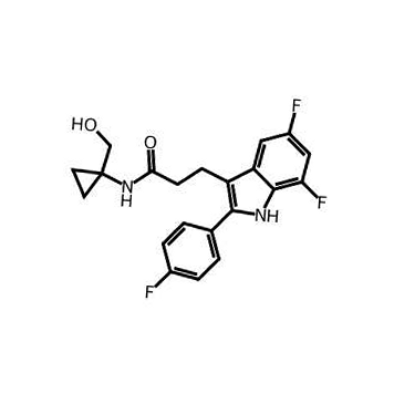 O=C(CCc1c(-c2ccc(F)cc2)[nH]c2c(F)cc(F)cc12)NC1(CO)CC1